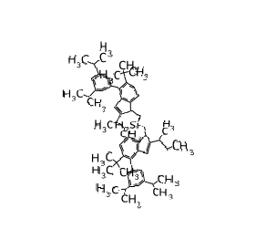 CCC(C)C1=Cc2c(ccc(C(C)(C)C)c2-c2cc(C(C)C)cc(C(C)C)c2)C1C[SiH2]CC1C(C(C)CC)=Cc2c1ccc(C(C)(C)C)c2-c1cc(C(C)C)cc(C(C)C)c1